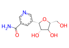 NC(=O)c1cncc([C@@H]2O[C@H](CO)C(O)[C@@H]2O)c1